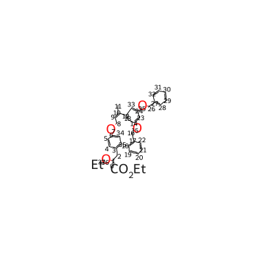 CCOC(=O)[C@H](Cc1ccc(OC/C=C(/C)c2cc(OCc3ccccc3)cc(OCc3ccccc3)c2)cc1)OCC